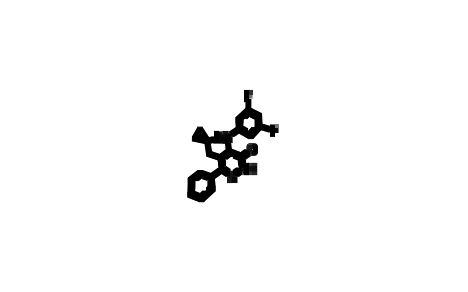 CC(=O)C1(Cc2c(-c3ccccc3)n[nH]c(=O)c2Nc2cc(F)cc(F)c2)CC1